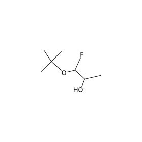 CC(O)C(F)OC(C)(C)C